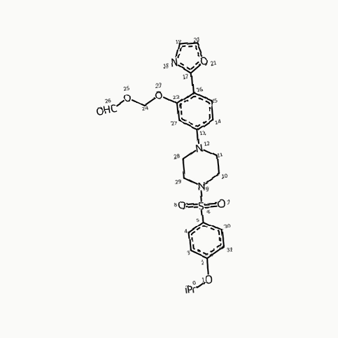 CC(C)Oc1ccc(S(=O)(=O)N2CCN(c3ccc(-c4ncco4)c(OCOC=O)c3)CC2)cc1